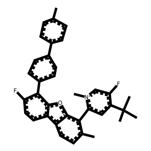 Cc1ccc(-c2ccc(-c3c(F)ccc4c3oc3c(-c5cc(C(C)(C)C)c(F)c[n+]5C)c(C)ccc34)cc2)cc1